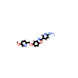 COc1ccc(COc2ccc3oc(-c4ccc(N)nc4)nc3c2)nc1